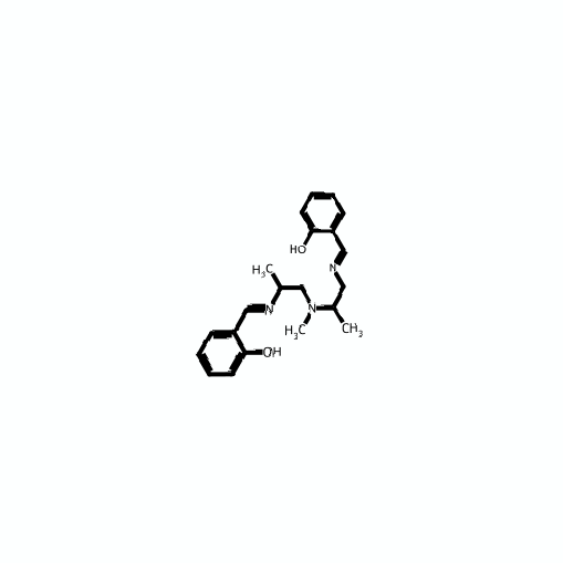 CC(CN(C)C(C)CN=Cc1ccccc1O)N=Cc1ccccc1O